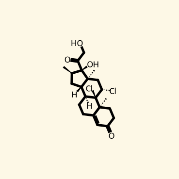 C[C@@H]1C[C@H]2[C@@H]3CCC4=CC(=O)CC[C@]4(C)[C@@]3(Cl)[C@@H](Cl)C[C@]2(C)[C@@]1(O)C(=O)CO